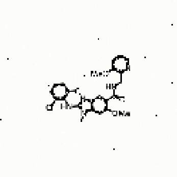 COc1cc2c(cc1C(=O)NCc1ncccc1OC)nc(Nc1c(Cl)cccc1Cl)n2C